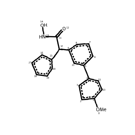 COc1ccc(-c2cccc(C(C(=O)NO)c3ccccc3)c2)cc1